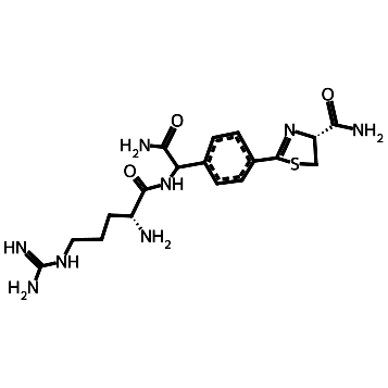 N=C(N)NCCC[C@@H](N)C(=O)NC(C(N)=O)c1ccc(C2=N[C@H](C(N)=O)CS2)cc1